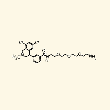 CN1Cc2c(Cl)cc(Cl)cc2C(c2cccc([S+]([O-])NCCOCCOCCOCCN)c2)C1